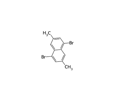 Cc1cc(Br)c2cc(C)cc(Br)c2c1